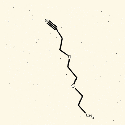 CCCOCCOCCC#N